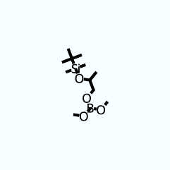 COB(OC)OCC(C)O[Si](C)(C)C(C)(C)C